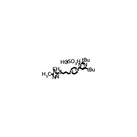 Cc1nnc(SCCCN2CCN(c3cc(C(C)(C)C)nc(C(C)(C)C)n3)CC2)n1C.O=S(=O)(O)O